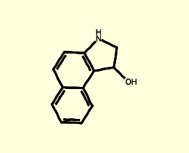 OC1CNc2ccc3ccccc3c21